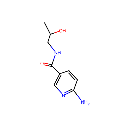 CC(O)CNC(=O)c1ccc(N)nc1